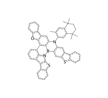 Cc1cc2c(cc1N1c3cc4c(cc3B3c5c1cc1c(oc6ccccc61)c5-c1cccc5c6c7ccccc7sc6n3c15)sc1ccccc14)C(C)(C)CCC2(C)C